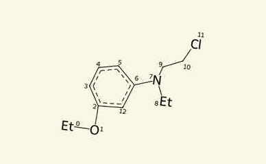 CCOc1cccc(N(CC)CCCl)c1